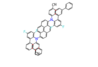 N#Cc1ccc(N(c2c(F)cc(F)cc2-c2cccc(-c3ccccc3)c2)c2ccc3ccc4c(N(c5ccc(C#N)cc5)c5c(F)cc(F)cc5-c5cccc(-c6ccccc6)c5)ccc5ccc2c3c54)cc1